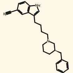 N#Cc1ccc2[nH]cc(CCCCN3CCC[C@H](Cc4ccccc4)C3)c2c1